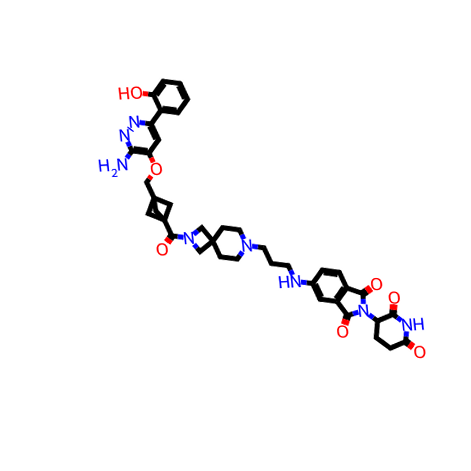 Nc1nnc(-c2ccccc2O)cc1OCC12CC(C(=O)N3CC4(CCN(CCCNc5ccc6c(c5)C(=O)N(C5CCC(=O)NC5=O)C6=O)CC4)C3)(C1)C2